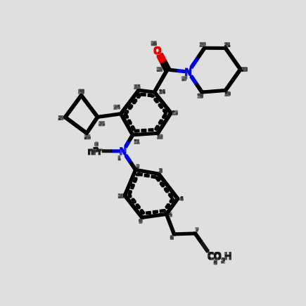 CCCN(c1ccc(CCC(=O)O)cc1)c1ccc(C(=O)N2CCCCC2)cc1C1CCC1